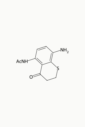 CC(=O)Nc1ccc(N)c2c1C(=O)CCS2